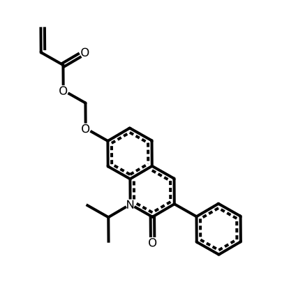 C=CC(=O)OCOc1ccc2cc(-c3ccccc3)c(=O)n(C(C)C)c2c1